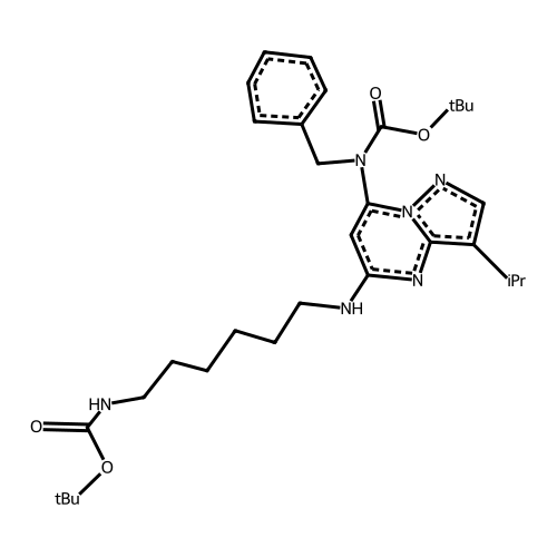 CC(C)c1cnn2c(N(Cc3ccccc3)C(=O)OC(C)(C)C)cc(NCCCCCCNC(=O)OC(C)(C)C)nc12